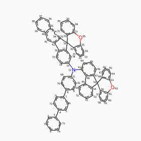 c1ccc(-c2ccc(-c3ccc(N(c4ccc5c(c4)C4(c6ccccc6Oc6ccccc64)c4cc6ccccc6cc4-5)c4cccc5c4-c4ccccc4C54c5ccccc5Oc5ccccc54)cc3)cc2)cc1